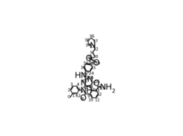 Cc1cccc(NC(=O)c2cccc(C(N)=O)c2-c2cnc(Nc3ccc(S(=O)(=O)CCCN4CCCC4)cc3)nc2)c1